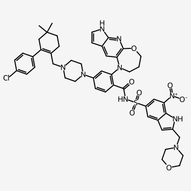 CC1(C)CCC(CN2CCN(c3ccc(C(=O)NS(=O)(=O)c4cc([N+](=O)[O-])c5[nH]c(CN6CCOCC6)cc5c4)c(N4CCCOc5nc6[nH]ccc6cc54)c3)CC2)=C(c2ccc(Cl)cc2)C1